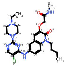 CCCCn1c(=O)c(OCC(=O)NC)cc2cc(Nc3nc(N4CCN(CC)CC4)ncc3Cl)ccc21